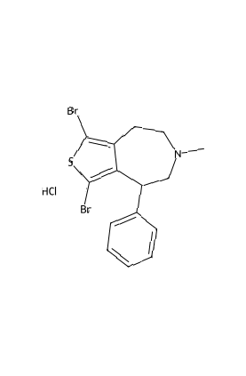 CN1CCc2c(Br)sc(Br)c2C(c2ccccc2)C1.Cl